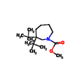 COC(=O)N1CCCCC(C(C)(C)C)(C(C)(C)C)C1